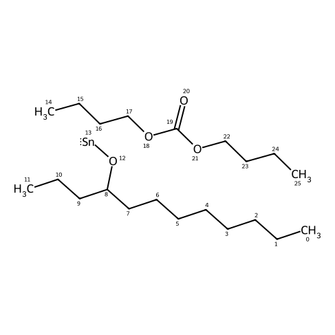 CCCCCCCCC(CCC)[O][Sn].CCCCOC(=O)OCCCC